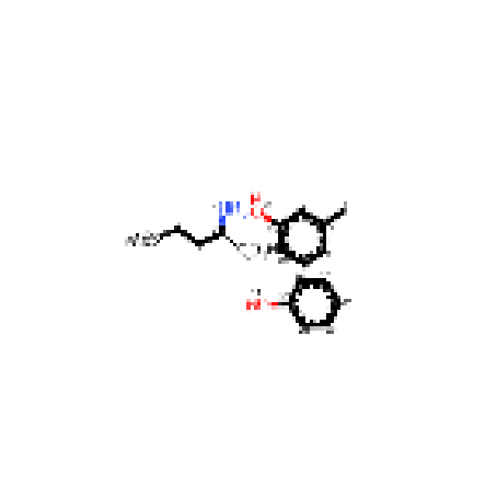 CSCC[C@H](N)C(=O)O.Cc1cccc(O)c1.Oc1ccccc1